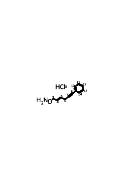 Cl.NOCC=CCC#Cc1ccccc1